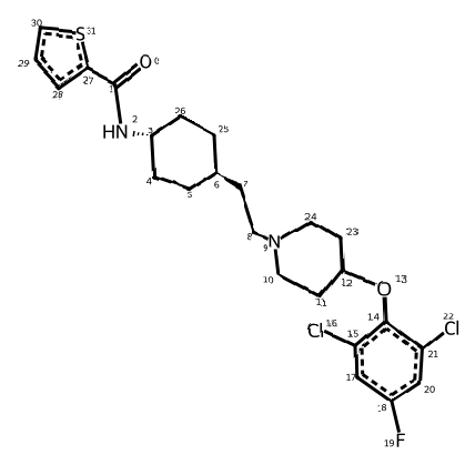 O=C(N[C@H]1CC[C@H](CCN2CCC(Oc3c(Cl)cc(F)cc3Cl)CC2)CC1)c1cccs1